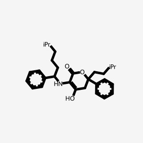 CC(C)CCCC(NC1=C(O)CC(CCC(C)C)(c2ccccc2)OC1=O)c1ccccc1